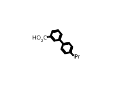 CC(C)c1ccc(-c2cccc(C(=O)O)c2)cc1